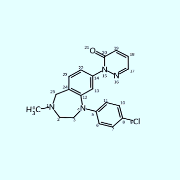 CN1CCN(c2ccc(Cl)cc2)c2cc(-n3ncccc3=O)ccc2C1